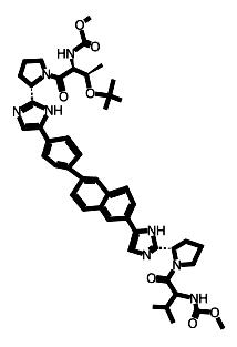 COC(=O)NC(C(=O)N1CCC[C@H]1c1ncc(-c2ccc3cc(-c4ccc(-c5cnc([C@@H]6CCCN6C(=O)[C@@H](NC(=O)OC)[C@@H](C)OC(C)(C)C)[nH]5)cc4)ccc3c2)[nH]1)C(C)C